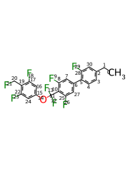 CCc1ccc(-c2cc(F)c(C(F)(F)Oc3cc(F)c(CF)c(F)c3)c(F)c2)c(F)c1